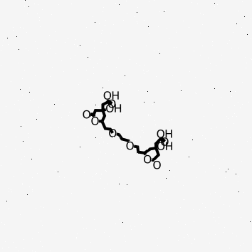 O=C(O)CC1(O)CC(=O)OC(CCOCCCOCCC2CC(O)(CC(=O)O)CC(=O)O2)C1